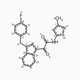 Cc1cc(NC(=O)C(=O)c2cc(Cc3ccc(F)cc3)c3ccccn23)sn1